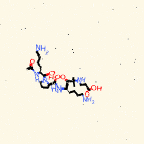 CC(=O)N[C@@H](CCCCN)C(=O)N1CCCC1C(O)N[C@@H](CCCCN)C(=O)C(C)(C)NCCC(=O)O